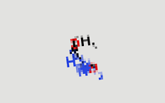 COc1ccc2c(c1)CCN1CCC(CNCc3cnc(N)n4nc(-c5ccco5)nc34)CC21